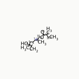 C=CC(C)(O)CC/C=C(\C)COC(=O)C(C)CC